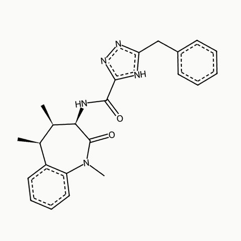 C[C@@H]1[C@H](C)c2ccccc2N(C)C(=O)[C@@H]1NC(=O)c1nnc(Cc2ccccc2)[nH]1